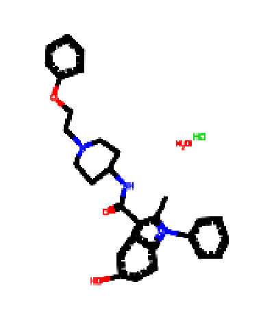 Cc1c(C(=O)NC2CCN(CCOc3ccccc3)CC2)c2cc(O)ccc2n1-c1ccccc1.Cl.O